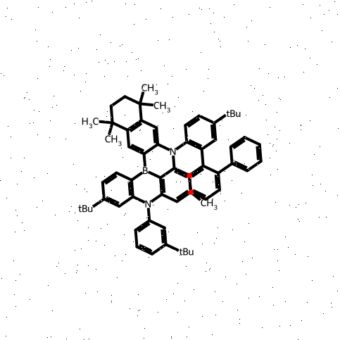 Cc1cc2c3c(c1)N(c1ccc(C(C)(C)C)cc1-c1ccccc1-c1ccccc1)c1cc4c(cc1B3c1ccc(C(C)(C)C)cc1N2c1cccc(C(C)(C)C)c1)C(C)(C)CCC4(C)C